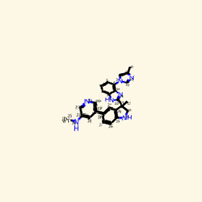 Cc1cn(-c2cccc3[nH]c(C4(C)CNc5ccc(-c6cncc(NC(C)C)c6)cc54)nc23)cn1